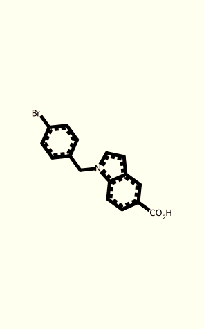 O=C(O)c1ccc2c(ccn2Cc2ccc(Br)cc2)c1